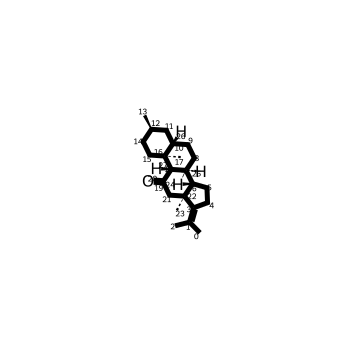 CC(C)=C1CC[C@H]2[C@@H]3CC[C@H]4C[C@H](C)CC[C@]4(C)[C@H]3C(=O)C[C@]12C